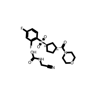 N#CCNC(=O)O.O=C([C@@H]1CC[C@@H](S(=O)(=O)c2ccc(F)cc2F)C1)N1CCOCC1